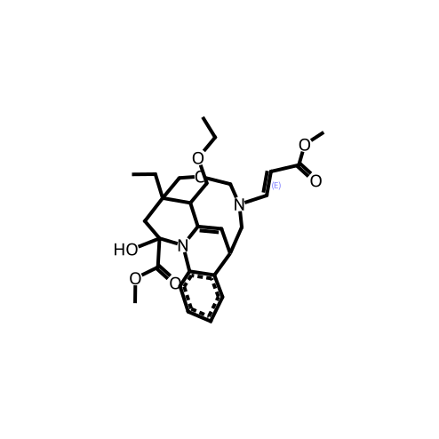 CCOCC1C2=CC3CN(/C=C/C(=O)OC)CCCC1(CC)CC(O)(C(=O)OC)N2c1ccccc13